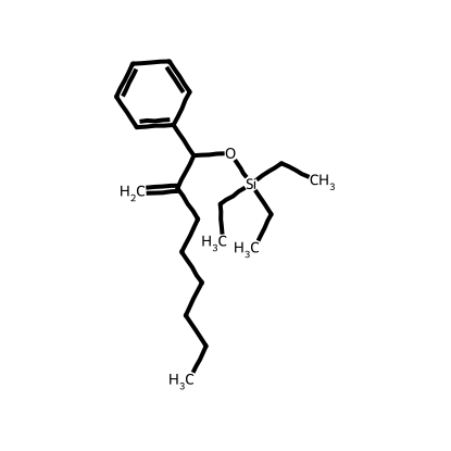 C=C(CCCCCC)C(O[Si](CC)(CC)CC)c1ccccc1